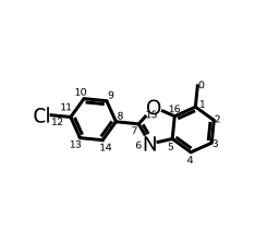 Cc1cccc2nc(-c3ccc(Cl)cc3)oc12